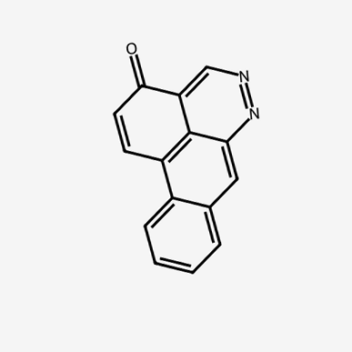 O=C1C=Cc2c3ccccc3cc3nncc1c23